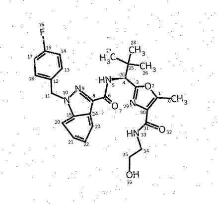 Cc1oc([C@@H](NC(=O)c2nn(Cc3ccc(F)cc3)c3ccccc23)C(C)(C)C)nc1C(=O)NCCO